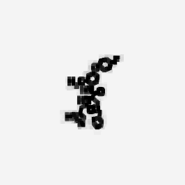 Cc1cc(Oc2ccc(F)cc2)ccc1NC(=O)C(COCc1ccccc1)NC(=O)Cc1cnc[nH]1